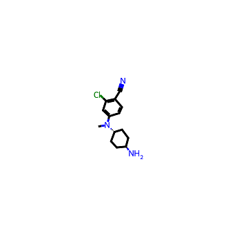 CN(c1ccc(C#N)c(Cl)c1)[C@H]1CC[C@H](N)CC1